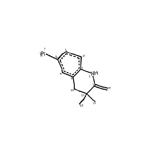 C=C1Nc2ccc(C(C)C)cc2CC1(C)C